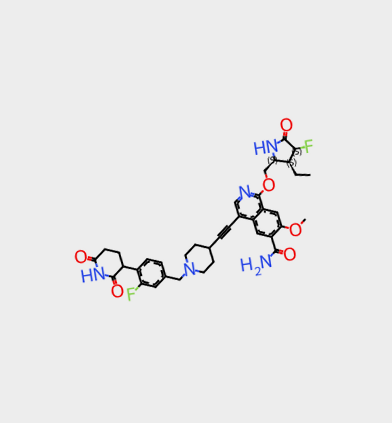 CC[C@@H]1[C@H](F)C(=O)N[C@@H]1COc1ncc(C#CC2CCN(Cc3ccc(C4CCC(=O)NC4=O)c(F)c3)CC2)c2cc(C(N)=O)c(OC)cc12